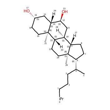 CC(C)CCCC(C)[C@H]1CC[C@H]2[C@@H]3C[C@H](O)[C@H]4C[C@@H](O)CC[C@]4(C)[C@H]3CC[C@]12C